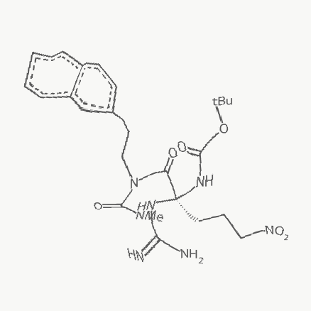 CNC(=O)N(CCc1ccc2ccccc2c1)C(=O)[C@](CCC[N+](=O)[O-])(NC(=N)N)NC(=O)OC(C)(C)C